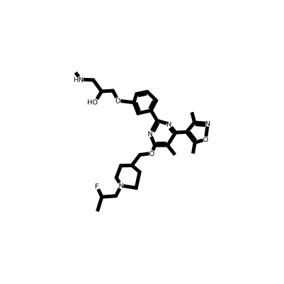 CNCC(O)COc1cccc(-c2nc(OCC3CCN(CC(C)F)CC3)c(C)c(-c3c(C)noc3C)n2)c1